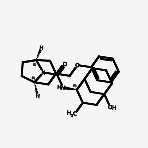 CC1CC2(O)CCCC(C2)[C@@H]1NC(=O)N1[C@@H]2CC[C@H]1CC(COc1ccccc1)C2